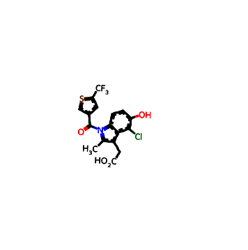 Cc1c(CC(=O)O)c2c(Cl)c(O)ccc2n1C(=O)c1csc(C(F)(F)F)c1